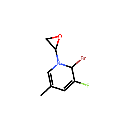 CC1=CN(C2CO2)C(Br)C(F)=C1